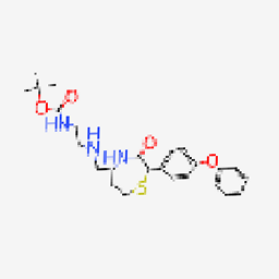 CC(C)(C)OC(=O)NCCNC[C@@H]1CCS[C@H](c2ccc(Oc3ccccc3)cc2)C(=O)N1